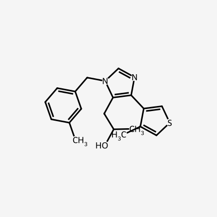 Cc1cccc(Cn2cnc(-c3cscc3C)c2CC(C)O)c1